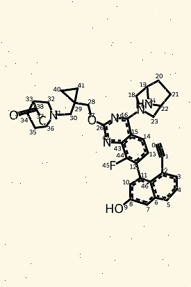 C#Cc1cccc2cc(O)cc(-c3ccc4c(N5CC6CCC(C5)N6)nc(OCC5(CN6CC7CCC6CC7=O)CC5)nc4c3F)c12